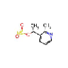 Cc1ncccc1C(C)O[SH](=O)=O